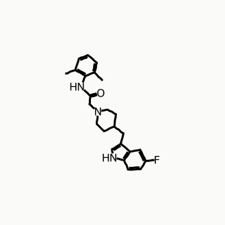 Cc1cccc(C)c1NC(=O)CN1CCC(Cc2c[nH]c3ccc(F)cc23)CC1